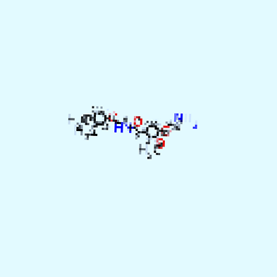 COc1cc(CC(=O)NCCOc2ccc(C)c(C)c2)ccc1OCCN